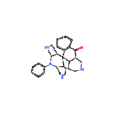 O=C1c2ccccc2C2(C3CCNCC13)C1CCNCC1N(c1ccccc1)C1CNCCC12